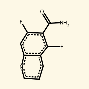 NC(=O)c1c(F)cc2ncccc2c1F